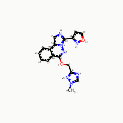 Cn1cnc(COc2nn3c(-c4ccon4)ncc3c3ccccc23)n1